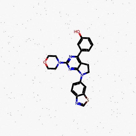 Oc1cccc(-c2nc(N3CCOCC3)nc3c2CCN3c2ccc3ncsc3c2)c1